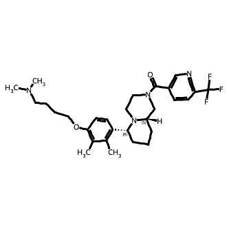 Cc1c(OCCCCN(C)C)ccc([C@H]2CCC[C@H]3CN(C(=O)c4ccc(C(F)(F)F)nc4)CCN32)c1C